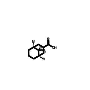 N[C@@H]1[C@@H]2CCC[C@H]1CC(C(=O)O)C2